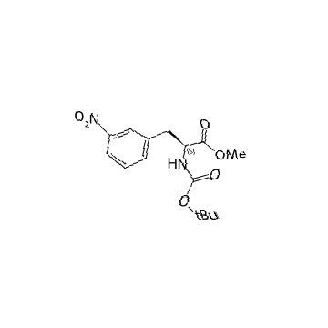 COC(=O)[C@H](Cc1cccc([N+](=O)[O-])c1)NC(=O)OC(C)(C)C